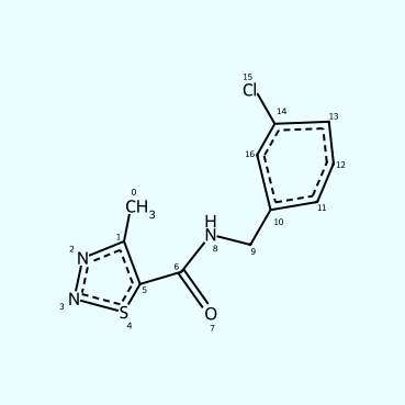 Cc1nnsc1C(=O)NCc1cccc(Cl)c1